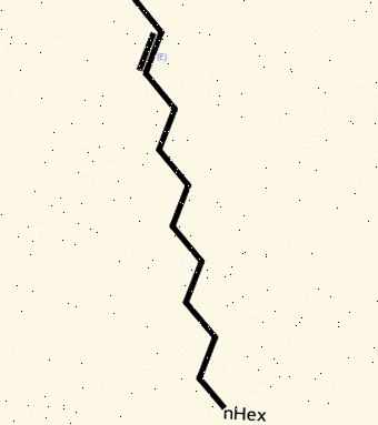 [CH2]/C=C/CCCCCCCCCCCCCC